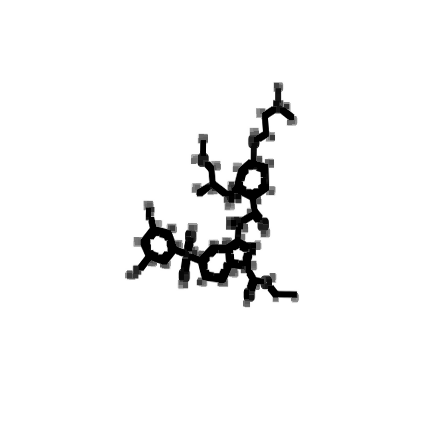 CCOC(=O)n1nc(NC(=O)c2ccc(OCCN(C)C)cc2N[C@@H](C)COC)c2cc(S(=O)(=O)c3cc(F)cc(F)c3)ccc21